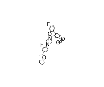 CC(OC1CCCC1)c1ccc(N2CCN(C(=O)c3cc(S(C)(=O)=O)ccc3-c3ccc(F)cc3)CC2)c(F)c1